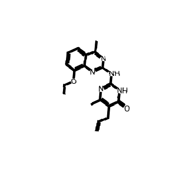 C=CCc1c(C)nc(Nc2nc(C)c3cccc(OCC)c3n2)[nH]c1=O